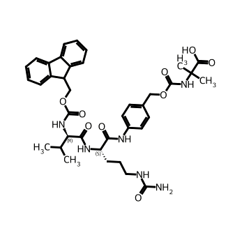 CC(C)[C@@H](NC(=O)OCC1c2ccccc2-c2ccccc21)C(=O)N[C@@H](CCCNC(N)=O)C(=O)Nc1ccc(COC(=O)NC(C)(C)C(=O)O)cc1